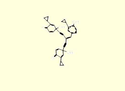 O=C1C=CC(O)(C#CC(C#CC2(O)C=CC(=O)C(C3CC3)=C2)=Cc2ccc(O)c(C3CC3)c2)C=C1C1CC1